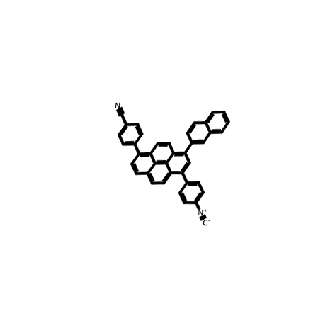 [C-]#[N+]c1ccc(-c2cc(-c3ccc4ccccc4c3)c3ccc4c(-c5ccc(C#N)cc5)ccc5ccc2c3c54)cc1